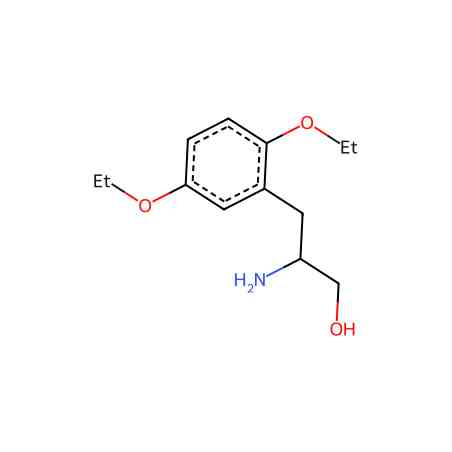 CCOc1ccc(OCC)c(CC(N)CO)c1